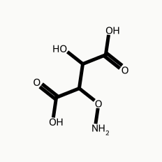 NOC(C(=O)O)C(O)C(=O)O